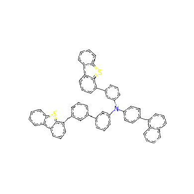 c1cc(-c2cccc(N(c3ccc(-c4cccc5ccccc45)cc3)c3cccc(-c4cccc5c4sc4ccccc45)c3)c2)cc(-c2cccc3c2sc2ccccc23)c1